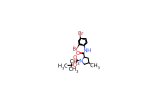 CC1CC(C(=O)Nc2ccc(Br)cc2Br)N(C(=O)OC(C)(C)C)C1